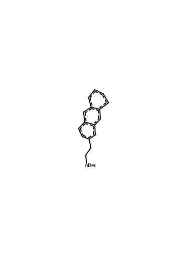 CCCCCCCCCCCCc1[c]c2cc3ccccc3cc2cc1